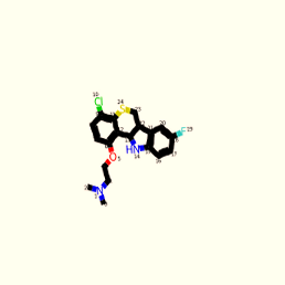 CN(C)CCOc1ccc(Cl)c2c1C1Nc3ccc(F)cc3C1CS2